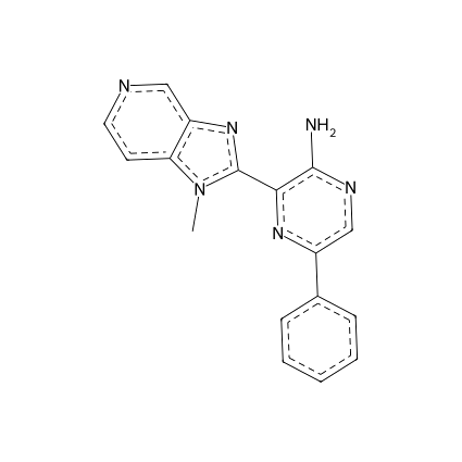 Cn1c(-c2nc(-c3ccccc3)cnc2N)nc2cnccc21